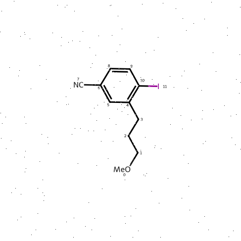 COCCCc1cc(C#N)ccc1I